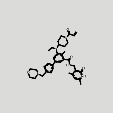 C=CC(=O)N1CCC(N(CC)c2cc(-c3ccc(CN4CCOCC4)cc3)cc(C(=O)NCc3c(C)cc(C)[nH]c3=O)c2C)CC1